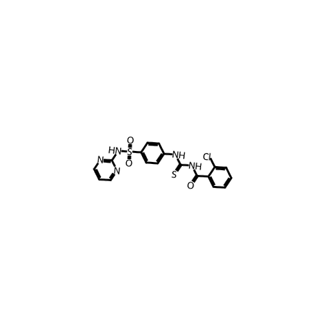 O=C(NC(=S)Nc1ccc(S(=O)(=O)Nc2ncccn2)cc1)c1ccccc1Cl